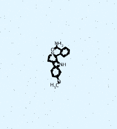 COc1ccc2c(c1)[nH]c1c(-c3ccccc3C(N)=O)nccc12